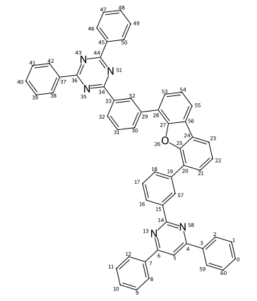 c1ccc(-c2cc(-c3ccccc3)nc(-c3cccc(-c4cccc5c4oc4c(-c6cccc(-c7nc(-c8ccccc8)nc(-c8ccccc8)n7)c6)cccc45)c3)n2)cc1